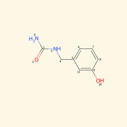 NC(=O)NCc1cccc(O)c1